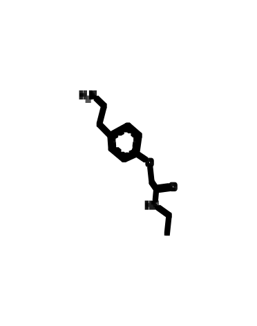 CCNC(=O)COc1ccc(CCN)cc1